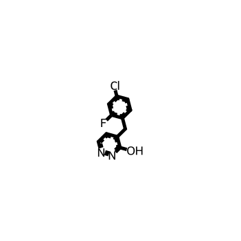 Oc1nnccc1Cc1ccc(Cl)cc1F